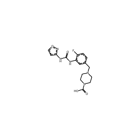 O=C(Nc1ccon1)Nc1cc(CN2CCN(C(=O)O)CC2)ccc1F